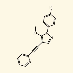 COc1c(C#Cc2ccccn2)cnn1-c1ccc(F)cc1